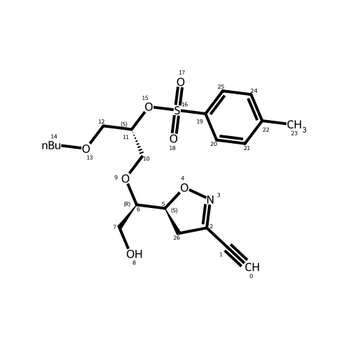 C#CC1=NO[C@H]([C@@H](CO)OC[C@H](COCCCC)OS(=O)(=O)c2ccc(C)cc2)C1